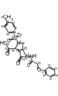 Cc1ccc(S(=O)(=O)N2CC3[C@@H](NC(=O)COc4ccccc4)C(=O)N3C2C(=O)O)cc1